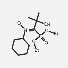 CCOP(=O)(OCC)C(=[N+]([O-])C1CCCCC1)C(C)(C)C#N